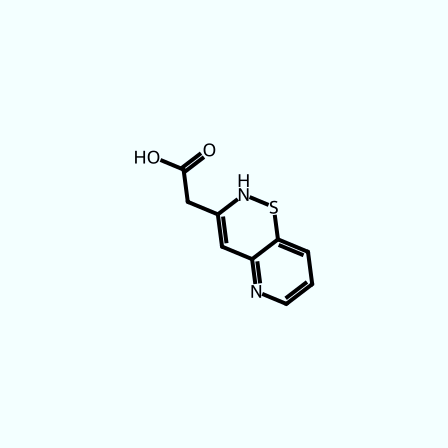 O=C(O)CC1=Cc2ncccc2SN1